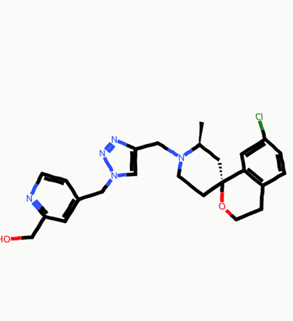 C[C@H]1C[C@@]2(CCN1Cc1cn(Cc3ccnc(CO)c3)nn1)OCCc1ccc(Cl)cc12